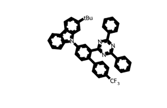 CC(C)(C)c1ccc2c3ccccc3n(-c3ccc(-c4ccc(C(F)(F)F)cc4)c(-c4nc(-c5ccccc5)nc(-c5ccccc5)n4)c3)c2c1